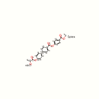 CCCCCC[C@@H](C)OC(=O)c1ccc(OC(=O)c2ccc(-c3ccc(OC(=O)C(C)OCCC)cc3)cc2)cc1